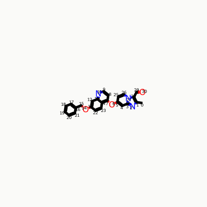 Cc1nc2cc(Oc3ccnc4cc(OCc5ccccc5)ccc34)ccn2c1C=O